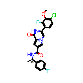 COc1c(Cl)ccc(-c2cn3cc(C(=O)N[C@H](C)c4ccc(F)cc4)cc3c(=O)[nH]2)c1F